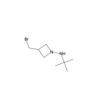 CC(C)(C)NN1CC(CBr)C1